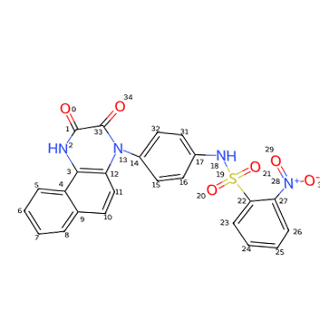 O=c1[nH]c2c3ccccc3ccc2n(-c2ccc(NS(=O)(=O)c3ccccc3[N+](=O)[O-])cc2)c1=O